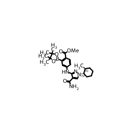 COC(=O)c1ccc(Nc2nn([C@H]3CCCC[C@@H]3C)cc2C(N)=O)cc1B1OC(C)(C)C(C)(C)O1